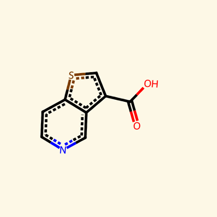 O=C(O)c1csc2ccncc12